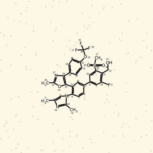 Cc1cn(-c2ccc(-c3cc(F)c(CO)c(S(C)(=O)=O)c3)cc2-c2oc(C)nc2-c2ccc(OC(F)(F)F)cc2)c(C)n1